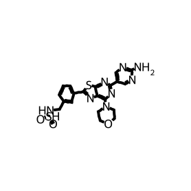 Nc1ncc(-c2nc(N3CCOCC3)c3nc(-c4cccc(CN[SH](=O)=O)c4)sc3n2)cn1